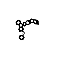 C1=CC2CC1C1CC3C4CC(C5CC6(CC54)c4ccccc4-c4ccc(Oc5ccccc5)cc46)C3C21